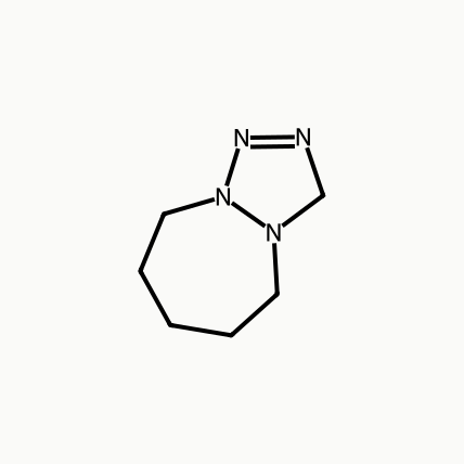 C1CCN2CN=NN2CC1